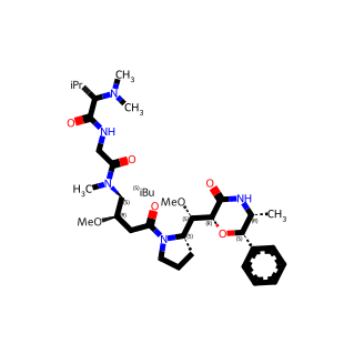 CC[C@H](C)[C@@H]([C@@H](CC(=O)N1CCC[C@H]1[C@H](OC)[C@H]1O[C@@H](c2ccccc2)[C@@H](C)NC1=O)OC)N(C)C(=O)CNC(=O)C(C(C)C)N(C)C